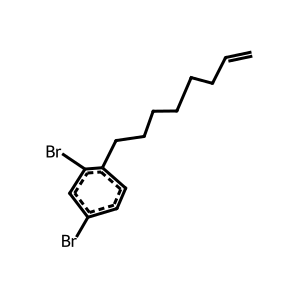 C=CCCCCCCc1ccc(Br)cc1Br